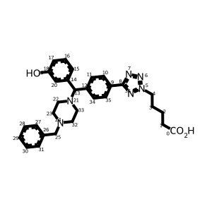 O=C(O)CCCCn1nnc(-c2ccc(C(c3cccc(O)c3)N3CCN(Cc4ccccc4)CC3)cc2)n1